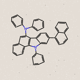 c1ccc(N(c2ccccc2)c2cc3ccccc3c3c2c2ccc(-c4cccc5ccccc45)cc2n3-c2ccccc2)cc1